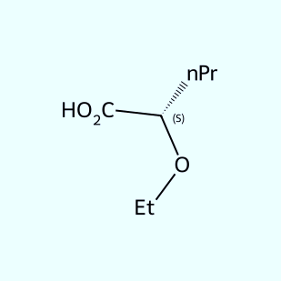 CCC[C@H](OCC)C(=O)O